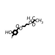 C=C(C)C(=O)OCCCCOC(=O)c1ccc(I)c(O)c1